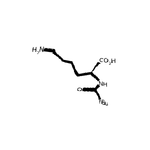 CCCCC(=O)N[C@@H](CCCCN)C(=O)O